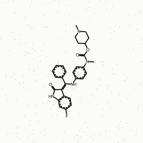 CN1CCC(OC(=O)N(C)c2ccc(NC(=C3C(=O)Nc4cc(F)ccc43)c3ccccc3)cc2)CC1